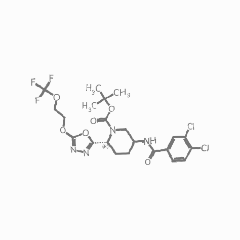 CC(C)(C)OC(=O)N1CC(NC(=O)c2ccc(Cl)c(Cl)c2)CC[C@@H]1c1nnc(OCCOC(F)(F)F)o1